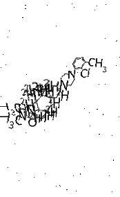 [2H]C([2H])(C[C@]1([2H])C([2H])([2H])C([2H])([2H])[C@@]([2H])(NC(=O)N(C)C)C([2H])([2H])C1([2H])[2H])N1CCN(c2cccc(C)c2Cl)CC1